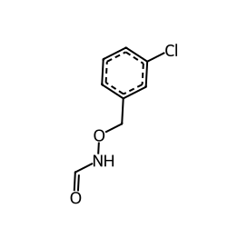 O=CNOCc1cccc(Cl)c1